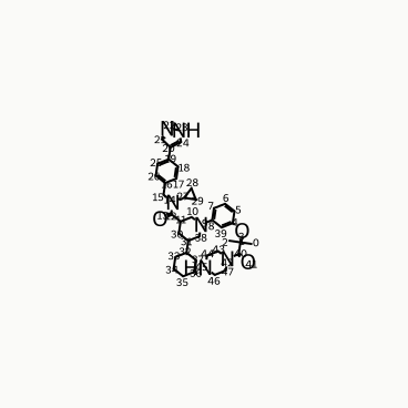 CC(C)(Oc1cccc(N2CC(C(=O)N(Cc3ccc(-c4cn[nH]c4)cc3)C3CC3)CC(C3CCCCC3)C2)c1)C(=O)N1CCNCC1